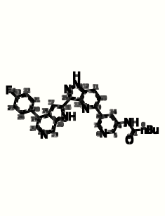 CCCCC(=O)Nc1cncc(-c2ccc3[nH]nc(-c4cc5c(-c6ccc(F)cc6)cncc5[nH]4)c3n2)c1